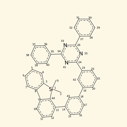 C[Si]1(C)c2ccccc2-c2cccc(-c3cccc(-c4cccc(-c5nc(-c6ccccc6)nc(-c6ccccc6)n5)c4)c3)c21